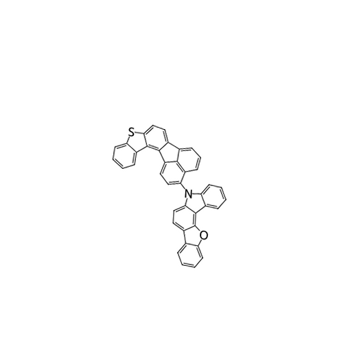 c1ccc2c(c1)oc1c2ccc2c1c1ccccc1n2-c1ccc2c3c(cccc13)-c1ccc3sc4ccccc4c3c1-2